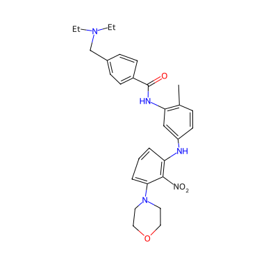 CCN(CC)Cc1ccc(C(=O)Nc2cc(Nc3cccc(N4CCOCC4)c3[N+](=O)[O-])ccc2C)cc1